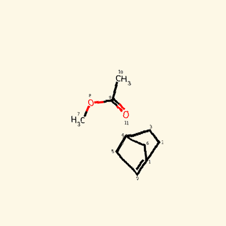 C1=C2CCC(C1)C2.COC(C)=O